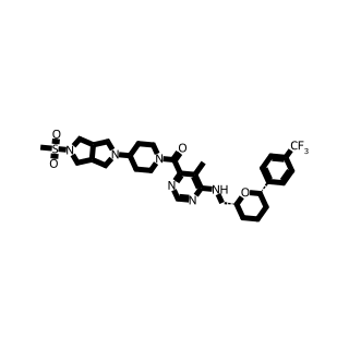 Cc1c(NC[C@H]2CCC[C@@H](c3ccc(C(F)(F)F)cc3)O2)ncnc1C(=O)N1CCC(N2CC3CN(S(C)(=O)=O)CC3C2)CC1